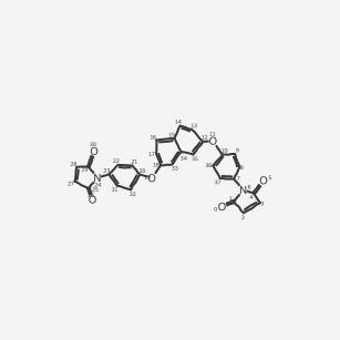 O=C1C=CC(=O)N1c1ccc(Oc2ccc3ccc(Oc4ccc(N5C(=O)C=CC5=O)cc4)cc3c2)cc1